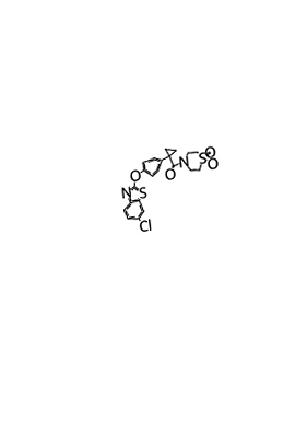 O=C(N1CCS(=O)(=O)CC1)C1(c2ccc(Oc3nc4ccc(Cl)cc4s3)cc2)CC1